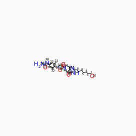 COCCCCCCCC1=NC2(CCN(S(=O)(=O)/C=C/c3c(C)cc(N(C)C(N)=O)cc3C)CC2)C(=O)N1